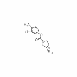 Nc1ccc(OC(=O)N2CC[C@@H](N)C2)cc1Cl